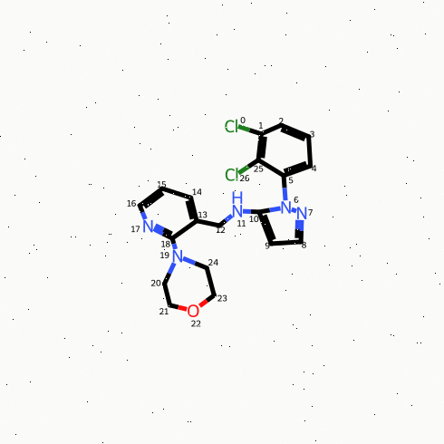 Clc1cccc(-n2nccc2NCc2cccnc2N2CCOCC2)c1Cl